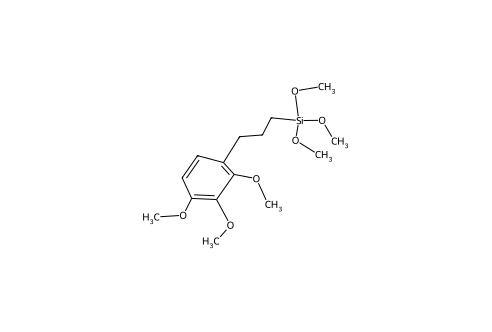 COc1ccc(CCC[Si](OC)(OC)OC)c(OC)c1OC